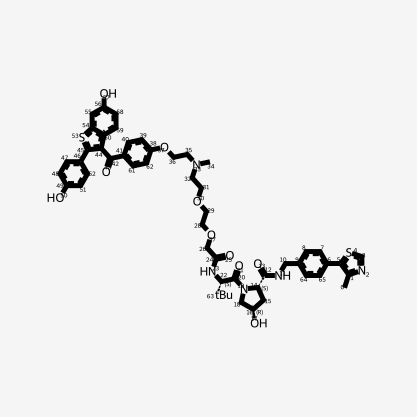 Cc1ncsc1-c1ccc(CNC(=O)[C@@H]2C[C@@H](O)CN2C(=O)[C@@H](NC(=O)COCCOCCN(C)CCOc2ccc(C(=O)c3c(-c4ccc(O)cc4)sc4cc(O)ccc34)cc2)C(C)(C)C)cc1